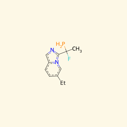 CCc1ccc2cnc(C(C)(F)P)n2c1